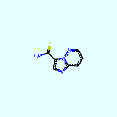 NC(=S)c1cnc2cccnn12